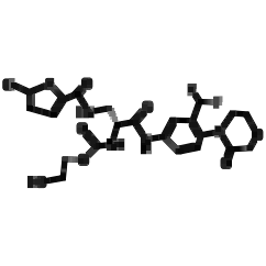 O=C(N[C@H](CNC(=O)c1ccc(Cl)s1)C(=O)Nc1ccc(N2CCOCC2=O)c(C(F)F)c1)OCCO